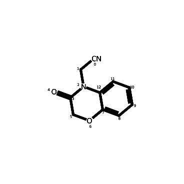 N#CCN1C(=O)COc2ccccc21